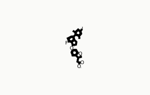 COC(=O)CC1COc2cc(O[C@@H]3CCc4c(-c5c(C)cc(I)cc5C)ccc(F)c43)ccc21